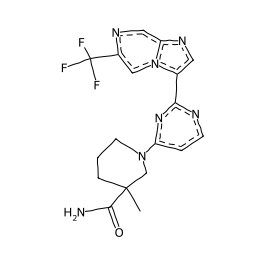 CC1(C(N)=O)CCCN(c2ccnc(-c3cnc4cnc(C(F)(F)F)cn34)n2)C1